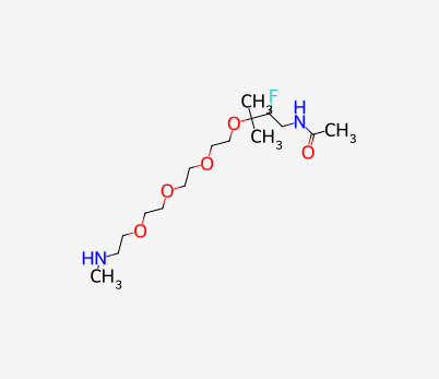 CNCCOCCOCCOCCOC(C)(C)C(F)CNC(C)=O